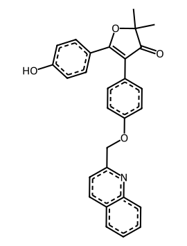 CC1(C)OC(c2ccc(O)cc2)=C(c2ccc(OCc3ccc4ccccc4n3)cc2)C1=O